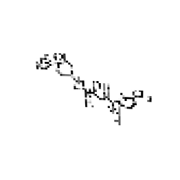 O=C(CNc1n[nH]c2ccc(C(F)(F)F)nc12)NC1CN([C@H]2CC[C@](O)(c3cncs3)CC2)C1